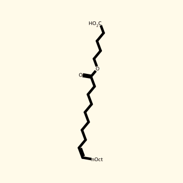 CCCCCCCC/C=C\CCCCCCCC(=O)OCCCCC(=O)O